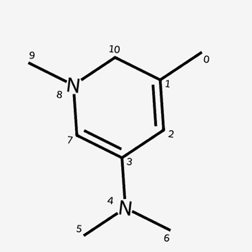 CC1=CC(N(C)C)=CN(C)C1